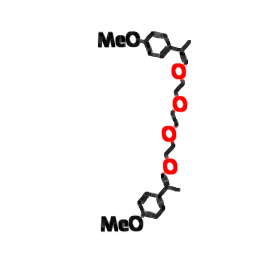 COc1ccc(C(C)=COCCOCCOCCOC=C(C)c2ccc(OC)cc2)cc1